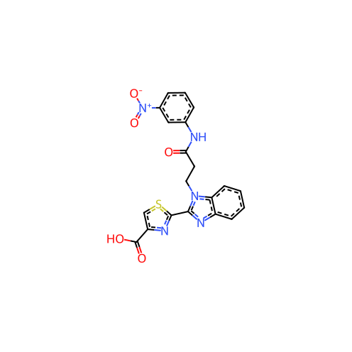 O=C(CCn1c(-c2nc(C(=O)O)cs2)nc2ccccc21)Nc1cccc([N+](=O)[O-])c1